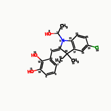 CC(O)N1/C(=C/c2cccc(O)c2O)C(C)(C)c2cc(Cl)ccc21